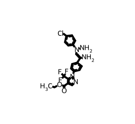 CCOC(=O)c1cnn(-c2ccc(/C(N)=C/N(N)c3ccc(Cl)cc3)cc2)c1C(F)(F)F